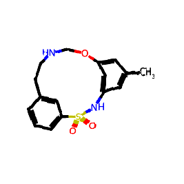 Cc1cc2cc(c1)OCNCCc1cccc(c1)S(=O)(=O)N2